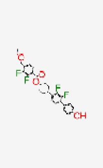 CCOCc1ccc(C(=O)OC2CCC(c3ccc(-c4ccc(O)cc4)c(F)c3F)CC2)c(F)c1F